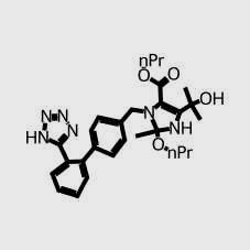 CCCOC(=O)C1=C(C(C)(C)O)NC(C)(OCCC)N1Cc1ccc(-c2ccccc2-c2nnn[nH]2)cc1